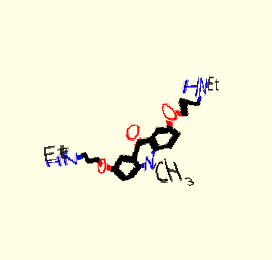 CCNCCCOc1ccc2c(c1)c(=O)c1cc(OCCCNCC)ccc1n2C